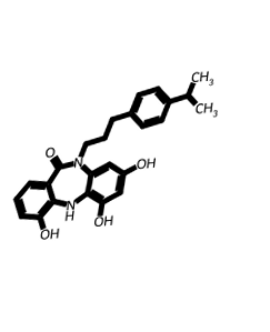 CC(C)c1ccc(CCCN2C(=O)c3cccc(O)c3Nc3c(O)cc(O)cc32)cc1